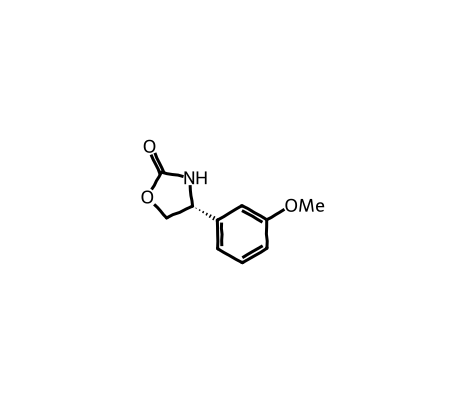 COc1cccc([C@@H]2COC(=O)N2)c1